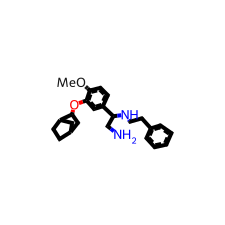 COc1ccc(C(CN)NCCc2ccccc2)cc1OC1CC2CCC1C2